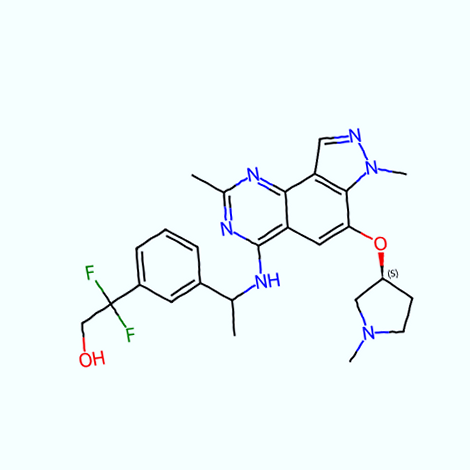 Cc1nc(NC(C)c2cccc(C(F)(F)CO)c2)c2cc(O[C@H]3CCN(C)C3)c3c(cnn3C)c2n1